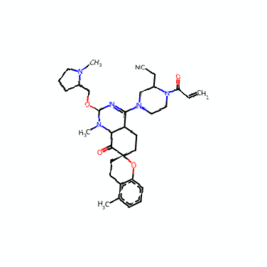 C=CC(=O)N1CCN(C2=NC(OCC3CCCN3C)N(C)C3C(=O)[C@]4(CCc5c(C)cccc5O4)CCC23)CC1CC#N